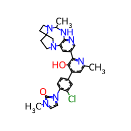 Cc1cc(-c2ccc(-n3ccn(C)c3=O)c(Cl)c2)c(O)c(-c2cnc3c(c2)N2CCC4(CCN4C(C)N3)C2)n1